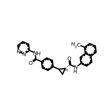 Cc1cccc2ccc(NC(=O)[C@@H]3CC3c3ccc(C(=O)Nc4cccnn4)cc3)cc12